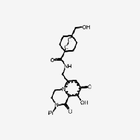 CC(C)N1CCn2c(CNC(=O)C34CCC(CO)(CC3)CC4)cc(=O)c(O)c2C1=O